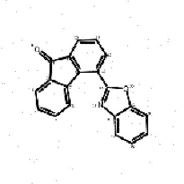 O=C1c2ccccc2-c2c1cccc2-c1nc2ccccc2o1